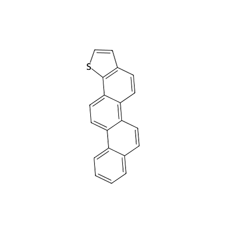 c1ccc2c(c1)ccc1c2ccc2c1ccc1ccsc12